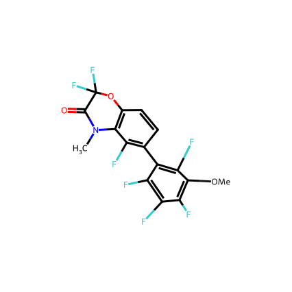 COc1c(F)c(F)c(F)c(-c2ccc3c(c2F)N(C)C(=O)C(F)(F)O3)c1F